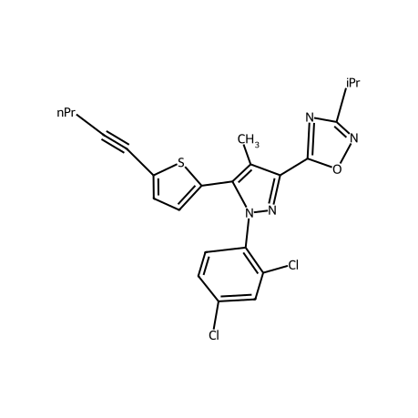 CCCC#Cc1ccc(-c2c(C)c(-c3nc(C(C)C)no3)nn2-c2ccc(Cl)cc2Cl)s1